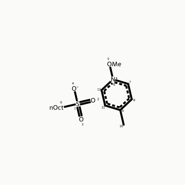 CCCCCCCCS(=O)(=O)[O-].CO[n+]1ccc(C)cc1